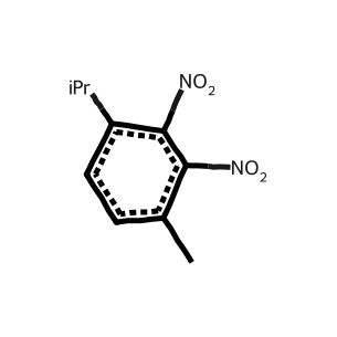 Cc1ccc(C(C)C)c([N+](=O)[O-])c1[N+](=O)[O-]